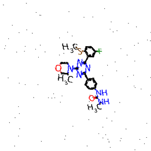 CNC(=O)Nc1ccc(-c2nc(-c3cc(F)ccc3SC)nc(N3CCOC[C@@H]3C)n2)cc1